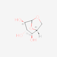 O[C@H]1[C@H](O)[C@@H](O)C2OC[C@H]1O2